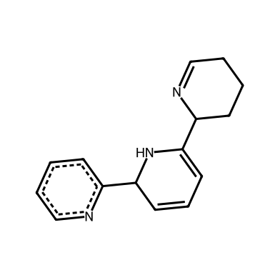 C1=CC(c2ccccn2)NC(C2CCCC=N2)=C1